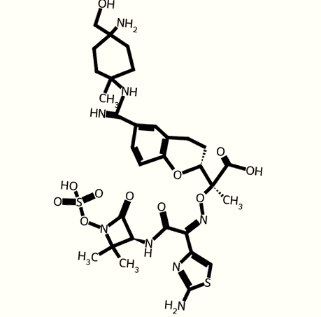 CC1(NC(=N)c2ccc3c(c2)CC[C@H]([C@](C)(O/N=C(\C(=O)N[C@@H]2C(=O)N(OS(=O)(=O)O)C2(C)C)c2csc(N)n2)C(=O)O)O3)CCC(N)(CO)CC1